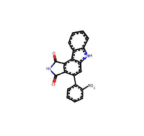 O=C1NC(=O)c2c1c(-c1ccccc1[N+](=O)[O-])cc1[nH]c3ccccc3c21